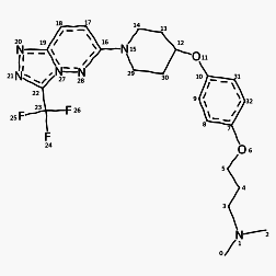 CN(C)CCCOc1ccc(OC2CCN(c3ccc4nnc(C(F)(F)F)n4n3)CC2)cc1